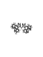 C1=N/C(=C\C2N=Cc3c2c2cccnc2c2ncccc32)c2c1c1cccnc1c1ncccc21